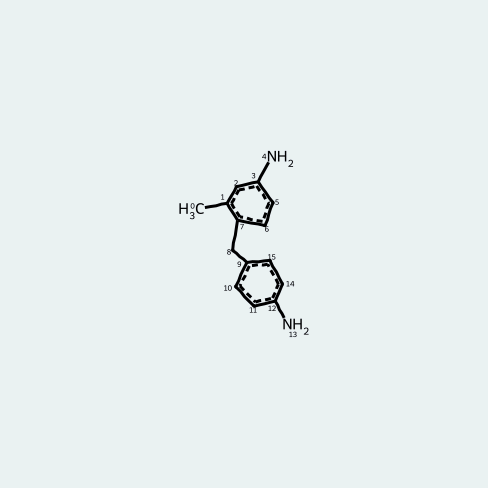 Cc1cc(N)ccc1Cc1ccc(N)cc1